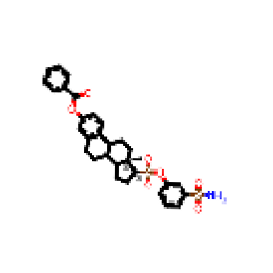 C[C@]12CCC3c4ccc(OC(=O)c5ccccc5)cc4CCC3C1CC[C@@H]2S(=O)(=O)Oc1cccc(S(N)(=O)=O)c1